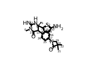 CN1C(=N)N[C@](C)(c2ccc(N)s2)C(c2ccc(N3CC(C)(C)C3=O)cc2)C1=O